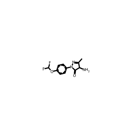 CC1=NN(c2ccc(OC(F)F)cc2)C(=O)C1N